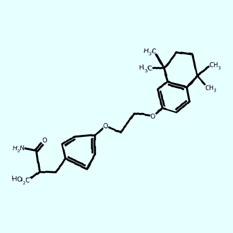 CC1(C)CCC(C)(C)c2cc(OCCOc3ccc(CC(C(N)=O)C(=O)O)cc3)ccc21